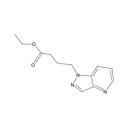 CCOC(=O)CCCn1ncc2ncccc21